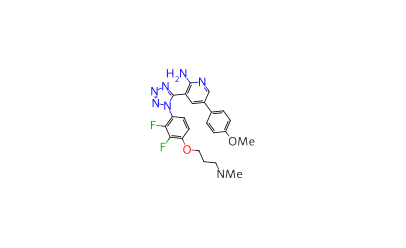 CNCCCOc1ccc(-n2nnnc2-c2cc(-c3ccc(OC)cc3)cnc2N)c(F)c1F